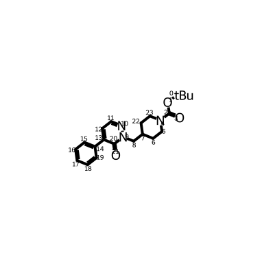 CC(C)(C)OC(=O)N1CCC(Cn2nccc(-c3ccccc3)c2=O)CC1